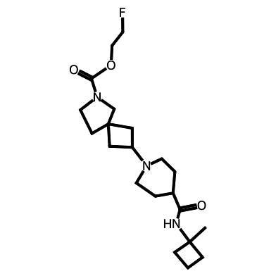 CC1(NC(=O)C2CCN(C3CC4(CCN(C(=O)OCCF)C4)C3)CC2)CCC1